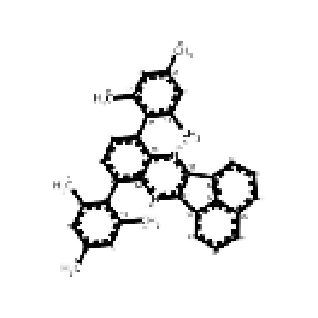 Cc1cc(C)c(-c2ccc(-c3c(C)cc(C)cc3C)c3nc4c(nc23)-c2cccc3cccc-4c23)c(C)c1